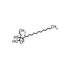 CCCCCCCCCCCCSC(=S)C(S)(CCC)C(=O)O